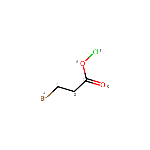 O=C(CCBr)OCl